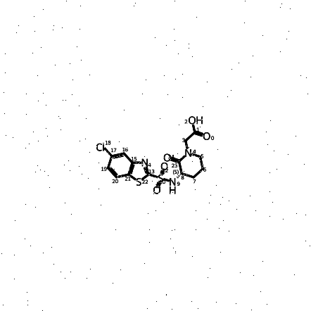 O=C(O)CN1CCC[C@H](NS(=O)(=O)c2nc3cc(Cl)ccc3s2)C1=O